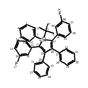 CC(C)(C)[Si]1(c2ccccc2)C(c2cccc(F)c2)=C(c2ccccc2)C(c2ccccc2)=C1c1cccc(F)c1